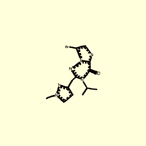 CC(C)n1c(-c2ccn(C)n2)nn2c(Br)cnc2c1=O